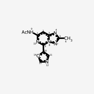 CC(=O)Nc1cc2nc(C)nn2c(-c2cnco2)n1